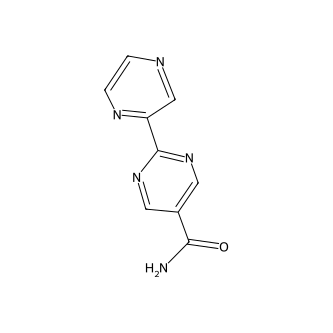 NC(=O)c1cnc(-c2cnccn2)nc1